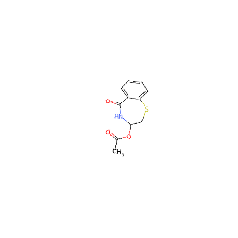 CC(=O)OC1CSc2ccccc2C(=O)N1